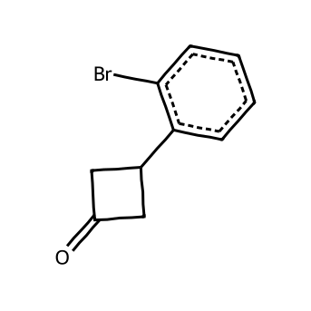 O=C1CC(c2ccccc2Br)C1